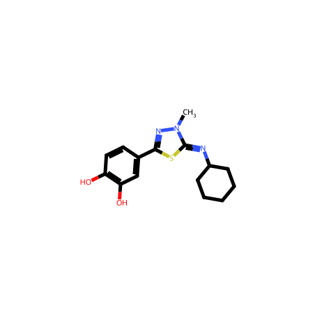 Cn1nc(-c2ccc(O)c(O)c2)sc1=NC1CCCCC1